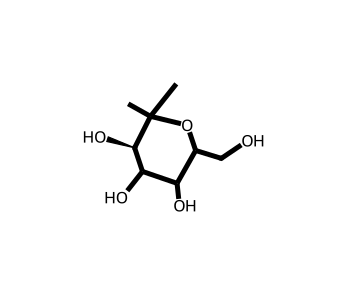 CC1(C)OC(CO)C(O)C(O)[C@H]1O